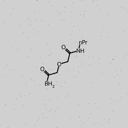 BC(=O)COCC(=O)NCCC